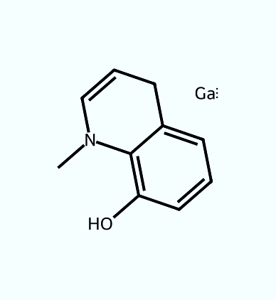 CN1C=CCc2cccc(O)c21.[Ga]